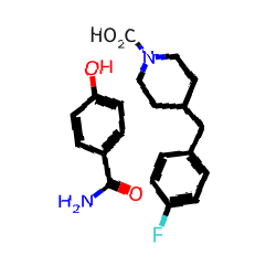 NC(=O)c1ccc(O)cc1.O=C(O)N1CCC(Cc2ccc(F)cc2)CC1